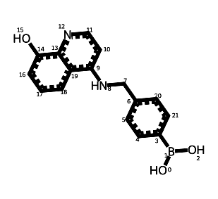 OB(O)c1ccc(CNc2ccnc3c(O)cccc23)cc1